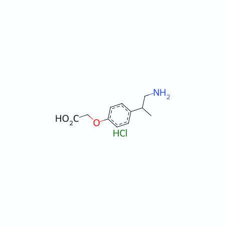 CC(CN)c1ccc(OCC(=O)O)cc1.Cl